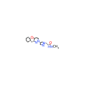 CNC(=O)CCn1cc(-n2ccc(=O)c(Cc3c[c]ccc3)n2)cn1